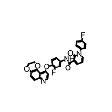 O=C(Nc1ccc(Oc2ccnc3ccc4c(c23)OCCO4)c(F)c1)c1cccn(-c2ccc(F)cc2)c1=O